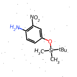 CC(C)(C)[Si](C)(C)Oc1ccc(N)c([N+](=O)[O-])c1